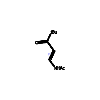 CC(=O)N/C=C/C(=O)C(C)(C)C